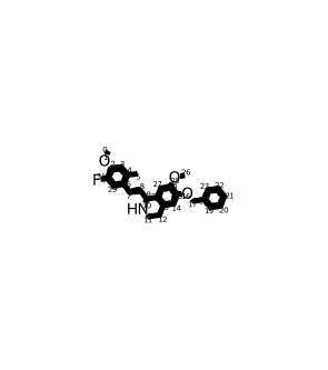 COc1cc(C)c(/C=C/C2NCCc3cc(OCc4ccccc4)c(OC)cc32)cc1F